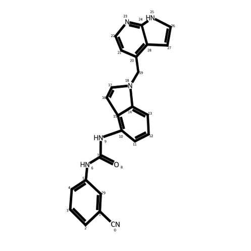 N#Cc1cccc(NC(=O)Nc2cccc3c2ccn3Cc2ccnc3[nH]ccc23)c1